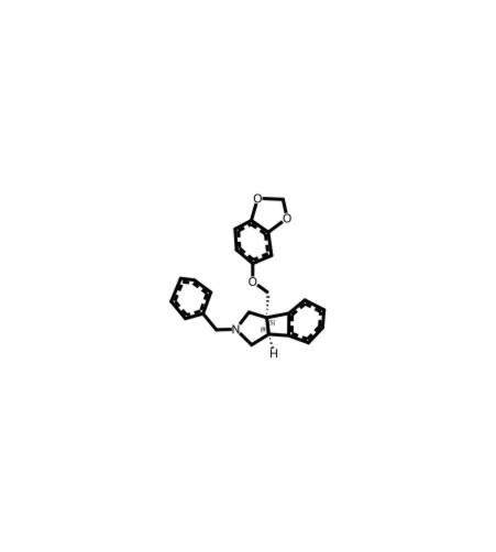 c1ccc(CN2C[C@@H]3c4ccccc4[C@]3(COc3ccc4c(c3)OCO4)C2)cc1